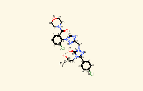 O=C(c1cccc(Cl)c1-n1cnc(Cn2nc(-c3ccc(Cl)cc3)n(C[C@@H](O)C(F)(F)F)c2=O)n1)N1CCOCC1